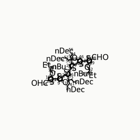 CCCCCCCCCCCCC1(CCCCCCCCCCCC)Oc2cc(-c3sc(C=O)cc3OCC(CC)CCCC)sc2-c2sc(-c3cc4c(s3)-c3sc(-c5sc(C=O)cc5OCC(CC)CCCC)cc3OC4(CCCCCCCCCCCC)CCCCCCCCCCCC)cc21